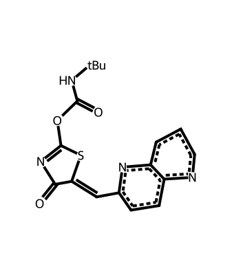 CC(C)(C)NC(=O)OC1=NC(=O)C(=Cc2ccc3ncccc3n2)S1